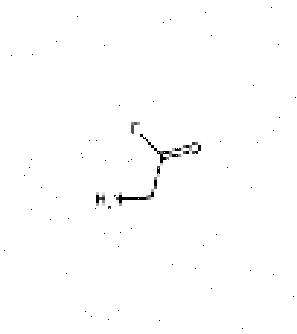 NCC(=O)F